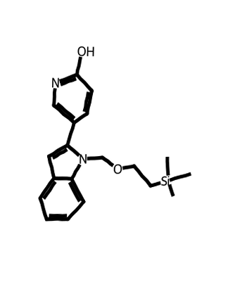 C[Si](C)(C)CCOCn1c(-c2ccc(O)nc2)cc2ccccc21